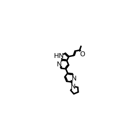 CC(=O)/C=C/c1c[nH]c2ncc(-c3ccc(N4CCCC4)nc3)cc12